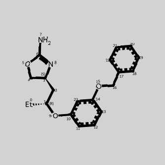 CC[C@H](C[C@H]1COC(N)=N1)Oc1cccc(OCc2ccccc2)c1